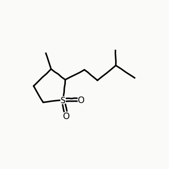 CC(C)CCC1C(C)CCS1(=O)=O